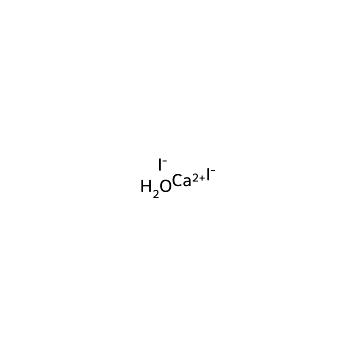 O.[Ca+2].[I-].[I-]